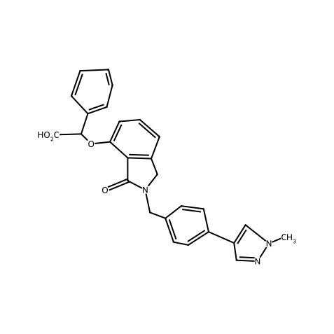 Cn1cc(-c2ccc(CN3Cc4cccc(OC(C(=O)O)c5ccccc5)c4C3=O)cc2)cn1